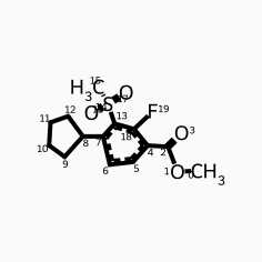 COC(=O)c1ccc(C2CCCC2)c(S(C)(=O)=O)c1F